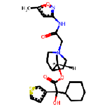 Cc1cc(NC(=O)C[N+]23CCC(CC2)[C@@H](OC(=O)C(O)(c2ccsc2)C2CCCCC2)C3)no1